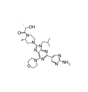 CC(C)Cn1c(N2CCN(C(=O)[C@H](C)O)[C@H](C)C2)nc2c(N3CCOCC3)nc(-c3cnc(N)nc3)nc21